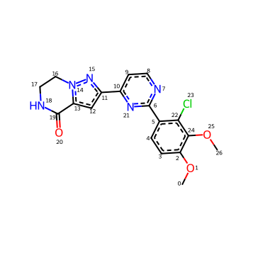 COc1ccc(-c2nccc(-c3cc4n(n3)CCNC4=O)n2)c(Cl)c1OC